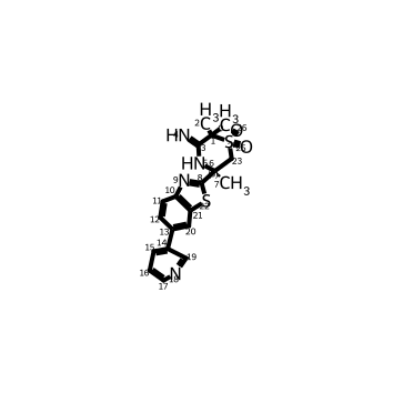 CC1(C)C(=N)N[C@](C)(c2nc3ccc(-c4cccnc4)cc3s2)CS1(=O)=O